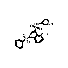 O=S(=O)(NC1CCNC1)c1cn(S(=O)(=O)c2ccccc2)c2cccc(C(F)(F)F)c12